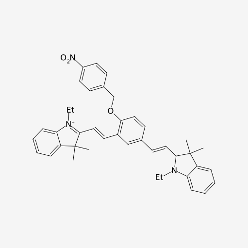 CCN1c2ccccc2C(C)(C)C1/C=C/c1ccc(OCc2ccc([N+](=O)[O-])cc2)c(/C=C/C2=[N+](CC)c3ccccc3C2(C)C)c1